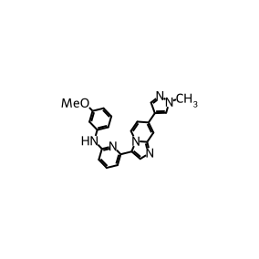 COc1cccc(Nc2cccc(-c3cnc4cc(-c5cnn(C)c5)ccn34)n2)c1